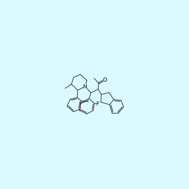 CC(=O)C(C1Cc2ccccc2C1)C(c1ccccc1F)N1CCCC(C)C1c1ccccc1C